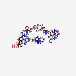 CN1C(=O)C[C@H](C(=O)NCCO[C@H]2CC[C@H](OCCCC(=O)N3CCN(c4cccc([C@H](CC(=O)O)CN5CC[C@@H](CCc6ccc7c(n6)NCCC7)C5)c4)CC3)CC2)[C@H]1c1cccnc1